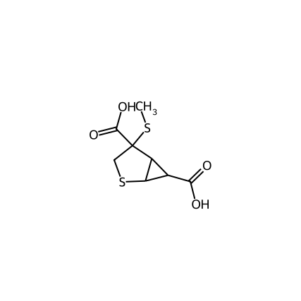 CSC1(C(=O)O)CSC2C(C(=O)O)C21